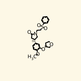 COc1ccc([C@@H]2CC(=O)N(CCS(=O)(=O)c3ccccc3)C2)cc1O[C@@H]1CCOC1